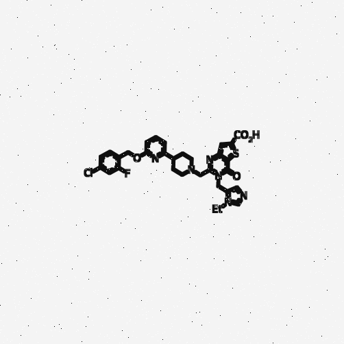 CCn1cncc1Cn1c(CN2CCC(c3cccc(OCc4ccc(Cl)cc4F)n3)CC2)nc2cc(C(=O)O)sc2c1=O